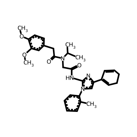 COc1ccc(CC(=O)N(CC(=O)Nc2nc(C3=CCCC=C3)cn2-c2ccccc2C)C(C)C)cc1OC